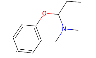 CCC(Oc1cc[c]cc1)N(C)C